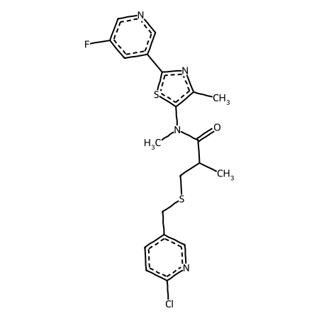 Cc1nc(-c2cncc(F)c2)sc1N(C)C(=O)C(C)CSCc1ccc(Cl)nc1